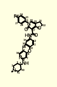 CN1CCC(Nc2cc(Oc3ccc(NC(=O)c4c5c(cn(-c6ccc(F)cc6)c4=O)CCO5)cc3F)ccn2)CC1